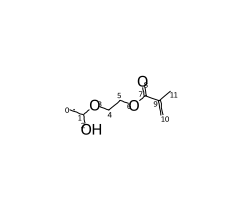 [CH2]C(O)OCCOC(=O)C(=C)C